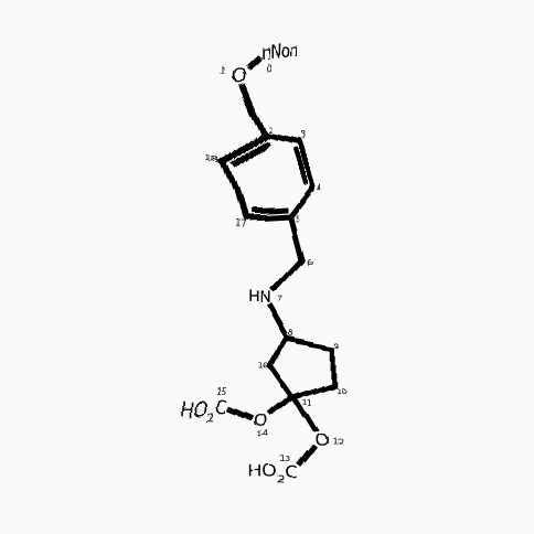 CCCCCCCCCOc1ccc(CNC2CCC(OC(=O)O)(OC(=O)O)C2)cc1